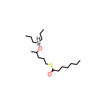 CCCCCCC(=O)SCCCC(C)O[SiH](CCC)CCC